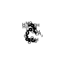 CCNC(=O)c1nnc(-c2cc(C(C)C)c(O)cc2O)n1-c1ccc(CN2CCC(C(=O)Cc3cccc4c3CN(C3CCC(=O)NC3=O)C4=O)CC2)cc1